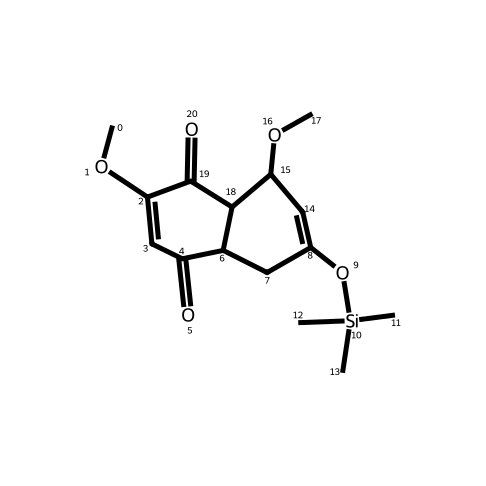 COC1=CC(=O)C2CC(O[Si](C)(C)C)=CC(OC)C2C1=O